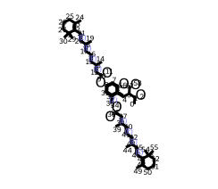 CC(=O)C1C=c2c(cc(OC(=O)/C=C(C)/C=C/C=C(C)/C=C/C3=C(C)CCCC3(C)C)c/c2=C/OC(=O)/C=C(C)/C=C/C=C(C)/C=C/C2=C(C)CCCC2(C)C)OC1=O